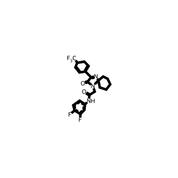 O=C(CN1C(=O)C(C2=CCC(C(F)(F)F)C=C2)=NC12CCCCC2)Nc1ccc(F)c(F)c1